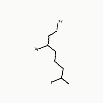 CC(C)CCC(CCCC(C)I)C(C)C